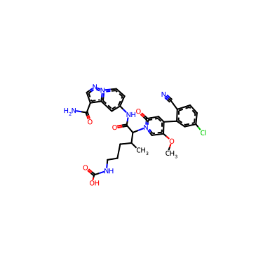 COc1cn(C(C(=O)Nc2ccn3ncc(C(N)=O)c3c2)C(C)CCCNC(=O)O)c(=O)cc1-c1cc(Cl)ccc1C#N